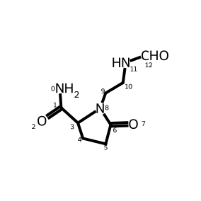 NC(=O)C1CCC(=O)N1CCNC=O